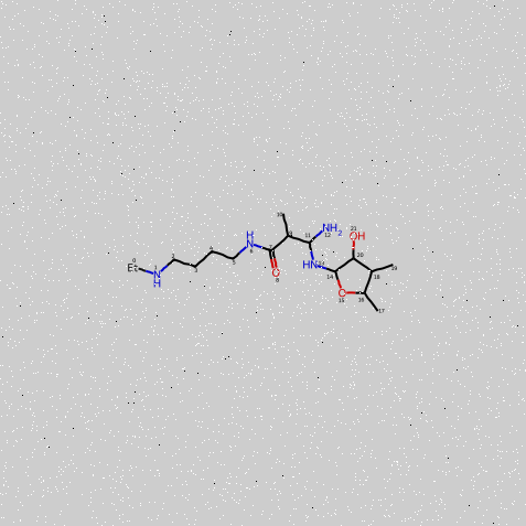 CCNCCCCNC(=O)C(C)C(N)NC1OC(C)C(C)C1O